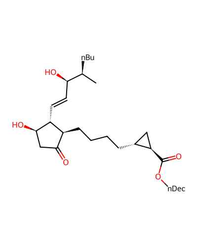 CCCCCCCCCCOC(=O)[C@@H]1C[C@H]1CCCC[C@H]1C(=O)C[C@@H](O)[C@@H]1/C=C/[C@@H](O)[C@H](C)CCCC